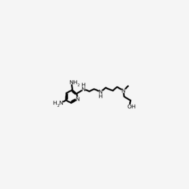 CN(CCO)CCCNCCNc1ncc(N)cc1N